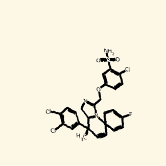 CC1(c2ccc(Cl)c(Cl)c2)C=CC2(C=CC(F)=CC2)N2C(COc3ccc(Cl)c(S(N)(=O)=O)c3)=NCC21